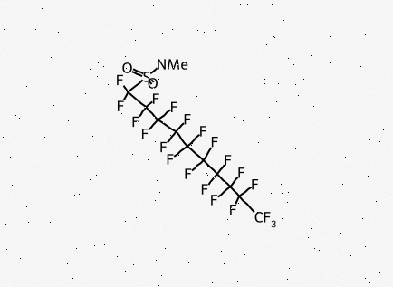 CNS(=O)(=O)C(F)(F)C(F)(F)C(F)(F)C(F)(F)C(F)(F)C(F)(F)C(F)(F)C(F)(F)C(F)(F)C(F)(F)F